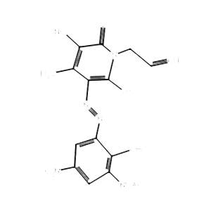 C=CCn1c(O)c(/N=N/c2cc([N+](=O)[O-])cc(NC(C)=O)c2O)c(C)c(C#N)c1=O